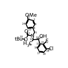 COc1ccc(CN(C(=O)OC(C)(C)C)C(C)[C@H](O)c2cccc(Cl)c2F)cc1